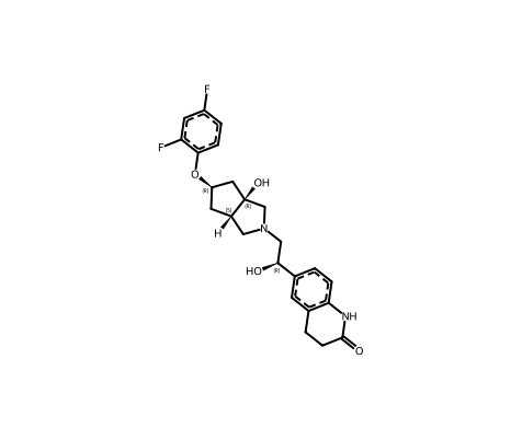 O=C1CCc2cc([C@@H](O)CN3C[C@@H]4C[C@@H](Oc5ccc(F)cc5F)C[C@]4(O)C3)ccc2N1